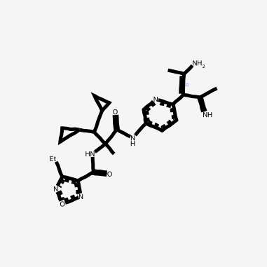 CCc1nonc1C(=O)NC(C)(C(=O)Nc1ccc(/C(C(C)=N)=C(\C)N)nc1)C(C1CC1)C1CC1